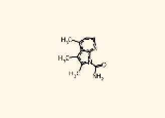 Cc1ccnc2c1c(C)c(C)n2C(N)=O